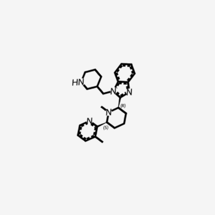 Cc1cccnc1[C@@H]1CCC[C@H](c2nc3ccccc3n2CC2CCCNC2)N1C